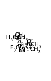 Cc1cc(-c2nnc(C(F)(F)F)n2COCC[Si](C)(C)C)c[n+]([O-])c1C